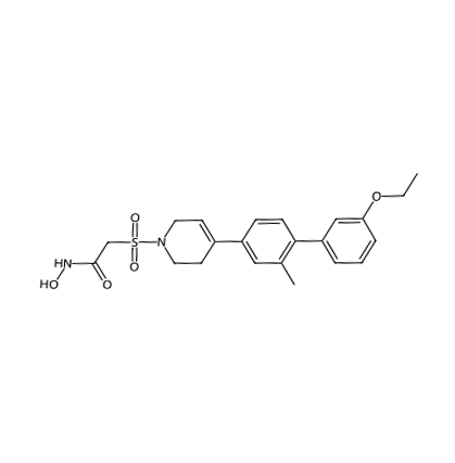 CCOc1cccc(-c2ccc(C3=CCN(S(=O)(=O)CC(=O)NO)CC3)cc2C)c1